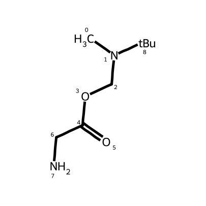 CN(COC(=O)CN)C(C)(C)C